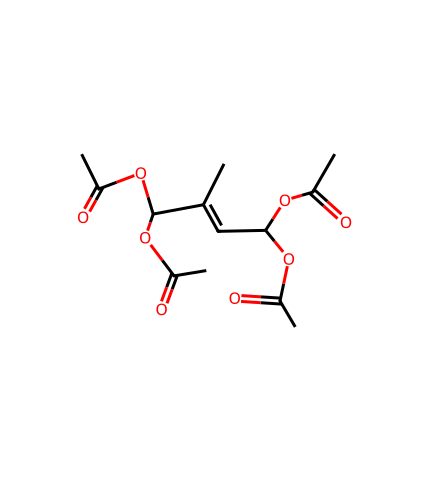 CC(=O)OC(/C=C(\C)C(OC(C)=O)OC(C)=O)OC(C)=O